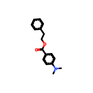 CN(C)c1ccc(C(=O)OCCc2ccccc2)cc1